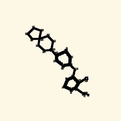 Nc1nccc(Sc2cnc(N3CCC4(CCCC4)CC3)cn2)c1Cl